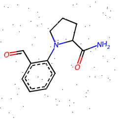 NC(=O)C1CCCN1c1ccccc1C=O